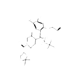 C=CCOc1cc(Cl)c(Cl)cc1C(N[S@@+]([O-])C(C)(C)C)C1CCN(C(=O)[C@H]2COC(C)(C)O2)CC1C